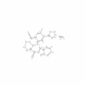 C=NN1C=C(C)C(N2CC[C@H](N)C2)=N/C1=C/C1CCCCN1C(=O)c1cc2ccccn2n1